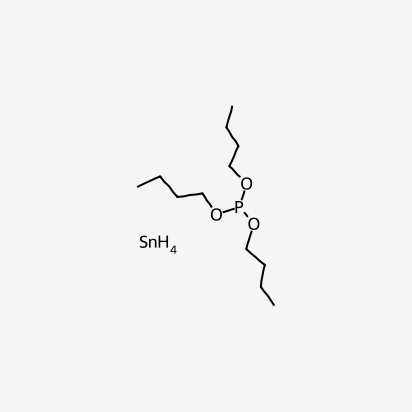 CCCCOP(OCCCC)OCCCC.[SnH4]